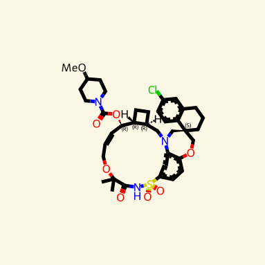 COC1CCN(C(=O)O[C@H]2C=CCOC(C)(C)C(=O)NS(=O)(=O)c3ccc4c(c3)N(C[C@@H]3CC[C@H]32)C[C@@]2(CCCc3cc(Cl)ccc32)CO4)CC1